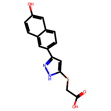 O=C(O)CSc1cc(-c2ccc3cc(O)ccc3c2)n[nH]1